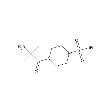 CC(C)S(=O)(=O)N1CCN(C(=O)C(C)(C)N)CC1